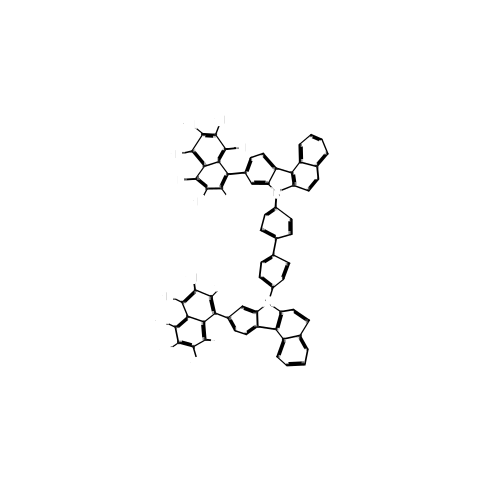 [2H]c1c([2H])c([2H])c2c(-c3ccc4c5c6ccccc6ccc5n(-c5ccc(-c6ccc(-n7c8cc(-c9c([2H])c([2H])c([2H])c%10c([2H])c([2H])c([2H])c([2H])c9%10)ccc8c8c9ccccc9ccc87)cc6)cc5)c4c3)c([2H])c([2H])c([2H])c2c1[2H]